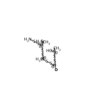 C=CCN(CCO)C(=O)CCSCCCSCCCN(CCc1ccccc1)C(=O)CCSCCCSCCCN(C)C(=O)CCSCCCSCCCN(CCN(C)C)C(=O)CCSCCCSCCCN